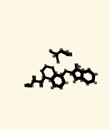 CCCCNNC1CCCc2c(Cc3nc4ccccc4[nH]3)ccnc21.CN(C)C=N